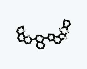 c1cnc2c(c1)ccc1ccc(-c3ccc(-c4ccc5c(ccc6oc7nc8ccccc8nc7c65)c4)c4ccccc34)nc12